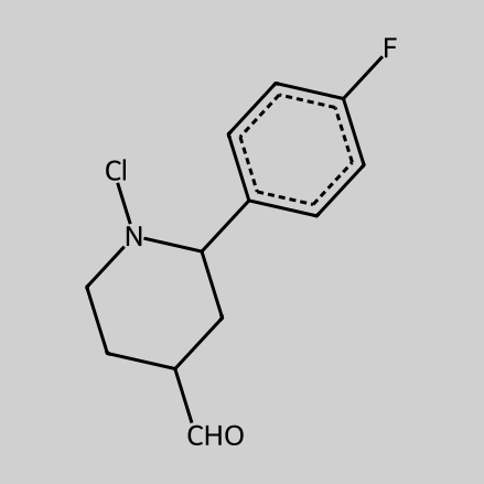 O=CC1CCN(Cl)C(c2ccc(F)cc2)C1